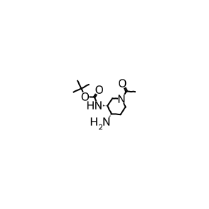 CC(=O)N1CC[C@H](N)[C@H](NC(=O)OC(C)(C)C)C1